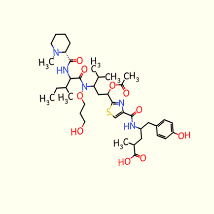 CCC(C)C(NC(=O)[C@H]1CCCCN1C)C(=O)N(OCCCO)C(CC(OC(C)=O)c1nc(C(=O)NC(Cc2ccc(O)cc2)CC(C)C(=O)O)cs1)C(C)C